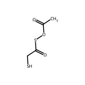 CC(=O)OSC(=O)CS